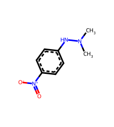 CN(C)Nc1ccc([N+](=O)[O-])cc1